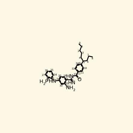 CCCCCC(CCC)c1ccc(C(=O)NC(=N)c2ccc(Nc3ccccc3P)cc2N)cc1